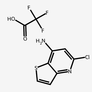 Nc1cc(Cl)nc2ccsc12.O=C(O)C(F)(F)F